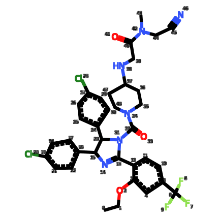 CCOc1cc(C(F)(F)F)ccc1C1=NC(c2ccc(Cl)cc2)C(c2ccc(Cl)cc2)N1C(=O)N1CCC(NCC(=O)N(C)CC#N)CC1